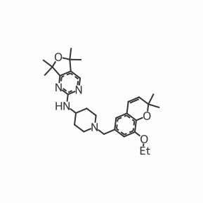 CCOc1cc(CN2CCC(Nc3ncc4c(n3)C(C)(C)OC4(C)C)CC2)cc2c1OC(C)(C)C=C2